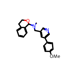 COc1ccc(-c2cncc(CN(C)C3OCCc4ccccc43)c2)cc1